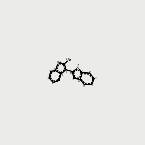 Brc1sc2ccccc2c1-c1cc2ccccc2s1